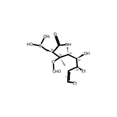 CC/C=C\[C@H](CC)[C@H](O)[C@H]1NC(=O)[C@H](CB(O)O)[C@]1(C)OC=O